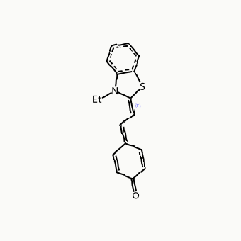 CCN1/C(=C\C=C2C=CC(=O)C=C2)Sc2ccccc21